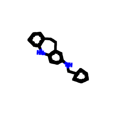 c1ccc(CNc2ccc3c(c2)CCc2ccccc2N3)cc1